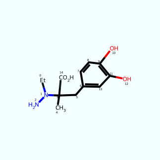 CCN(N)C(C)(Cc1ccc(O)c(O)c1)C(=O)O